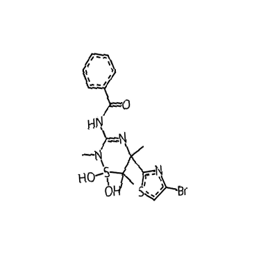 CN1C(NC(=O)c2ccccc2)=NC(C)(c2nc(Br)cs2)C(C)(C)S1(O)O